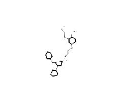 COc1ccc(C(=O)CCC(=O)Nc2cc(-c3ccccc3)c(Cc3ccccc3)s2)cc1CCCO